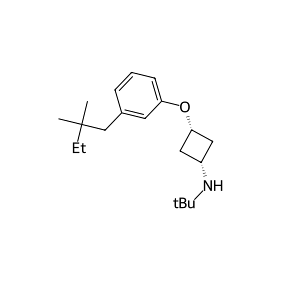 CCC(C)(C)Cc1cccc(O[C@H]2C[C@@H](NC(C)(C)C)C2)c1